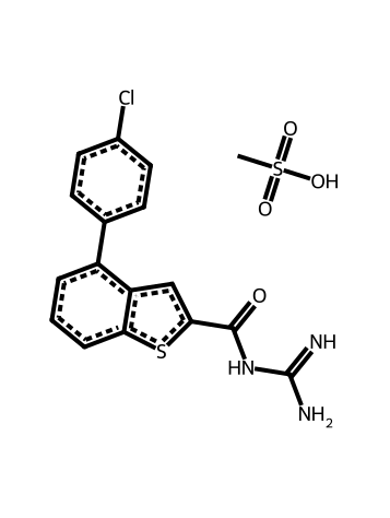 CS(=O)(=O)O.N=C(N)NC(=O)c1cc2c(-c3ccc(Cl)cc3)cccc2s1